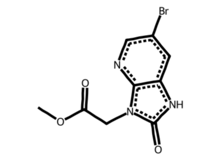 COC(=O)Cn1c(=O)[nH]c2cc(Br)cnc21